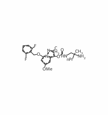 CCCC(C)(N)CNC(=O)Oc1c(C)nn2c(OCc3c(F)cccc3F)cc(OC)cc12